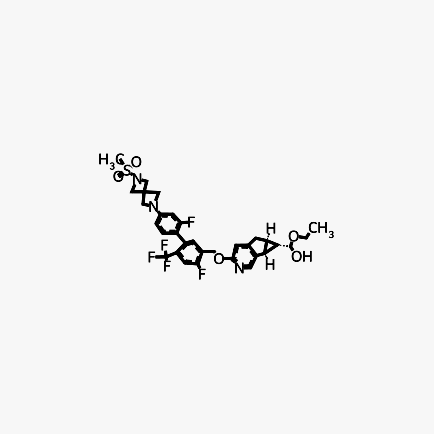 CCOC(O)[C@H]1[C@@H]2Cc3cc(OCc4cc(-c5ccc(N6CC7(C6)CN(S(C)(=O)=O)C7)cc5F)c(C(F)(F)F)cc4F)ncc3[C@@H]21